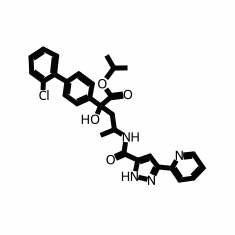 CC(CC(O)(C(=O)OC(C)C)c1ccc(-c2ccccc2Cl)cc1)NC(=O)c1cc(-c2ccccn2)n[nH]1